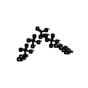 O=C([O-])[O-].O=P([O-])([O-])[O-].O=P([O-])([O-])[O-].O=P([O-])([O-])[O-].[Ca+2].[Ca+2].[Ca+2].[Ca+2].[Ca+2].[Ca+2].[OH-]